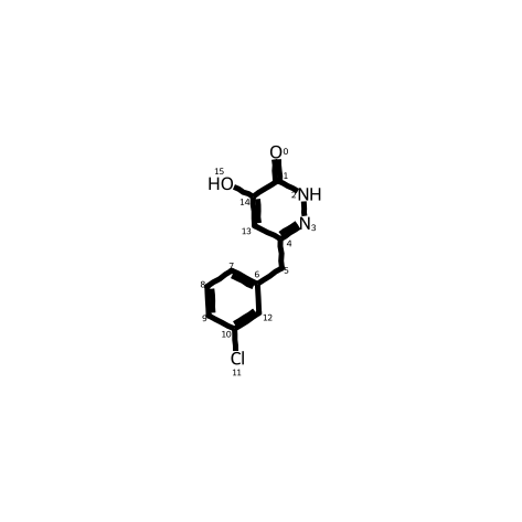 O=c1[nH]nc(Cc2cccc(Cl)c2)cc1O